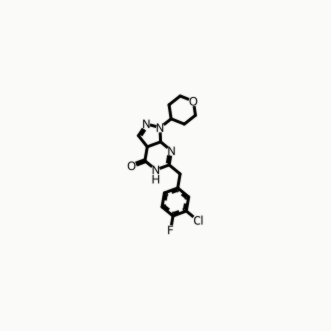 O=C1NC(Cc2ccc(F)c(Cl)c2)=NC2C1C=NN2C1CCOCC1